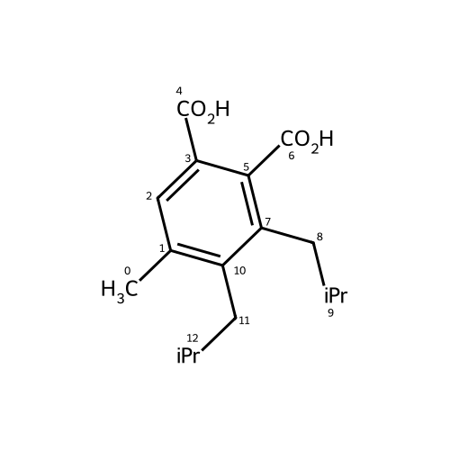 Cc1cc(C(=O)O)c(C(=O)O)c(CC(C)C)c1CC(C)C